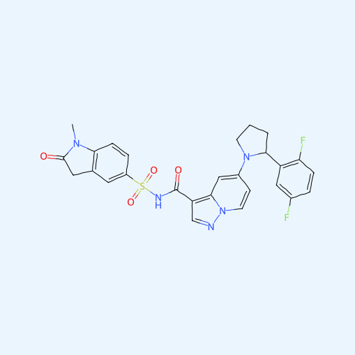 CN1C(=O)Cc2cc(S(=O)(=O)NC(=O)c3cnn4ccc(N5CCCC5c5cc(F)ccc5F)cc34)ccc21